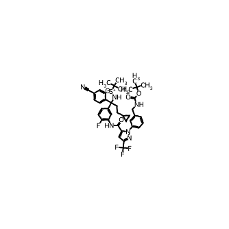 CC(C)(C)OC(=O)NCc1cccc(-n2nc(C(F)(F)F)cc2C(=O)Nc2cc(C(CCC3CC3)(N[S@@+]([O-])C(C)(C)C)c3ccc(C#N)cc3)ccc2F)c1